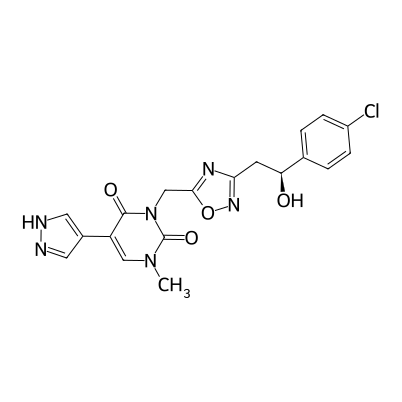 Cn1cc(-c2cn[nH]c2)c(=O)n(Cc2nc(C[C@H](O)c3ccc(Cl)cc3)no2)c1=O